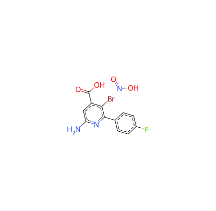 Nc1cc(C(=O)O)c(Br)c(-c2ccc(F)cc2)n1.O=NO